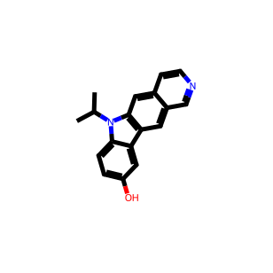 CC(C)n1c2ccc(O)cc2c2cc3cnccc3cc21